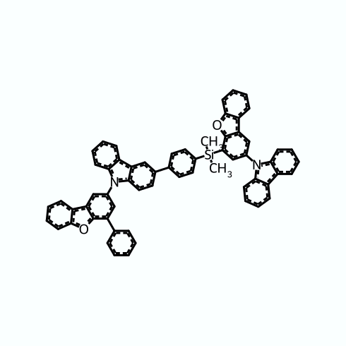 C[Si](C)(c1ccc(-c2ccc3c(c2)c2ccccc2n3-c2cc(-c3ccccc3)c3oc4ccccc4c3c2)cc1)c1cc(-n2c3ccccc3c3ccccc32)cc2c1oc1ccccc12